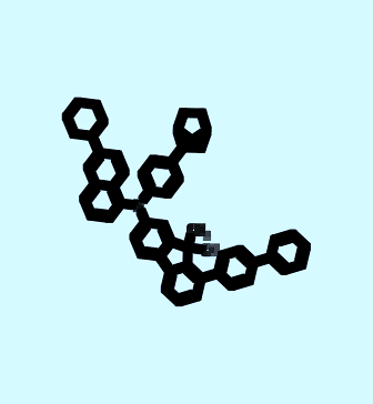 CC1(C)c2cc(N(c3ccc(C4CC5CCC4C5)cc3)c3cccc4cc(C5CCCCC5)ccc34)ccc2-c2cccc(-c3ccc(-c4ccccc4)cc3)c21